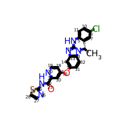 CCn1c(Nc2ccc(Cl)cc2)nc2cc(Oc3ccnc(C(=O)Nc4nccs4)c3)ccc21